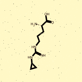 N=C(NCCC[C@H](N)C(=O)O)NC1CC1